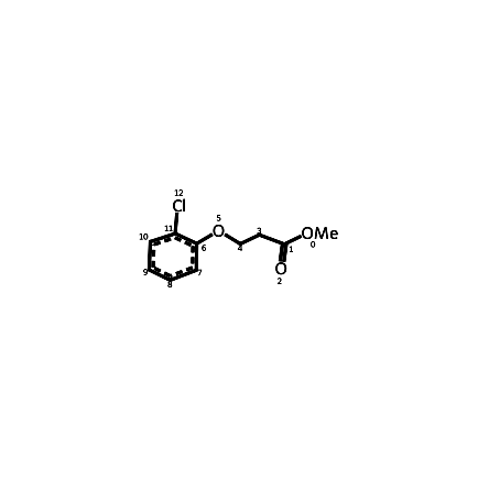 COC(=O)CCOc1ccccc1Cl